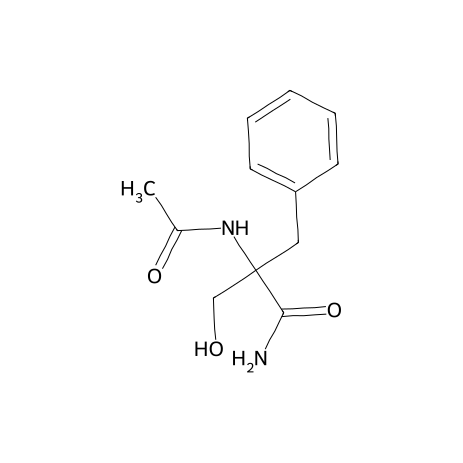 CC(=O)NC(CO)(Cc1ccccc1)C(N)=O